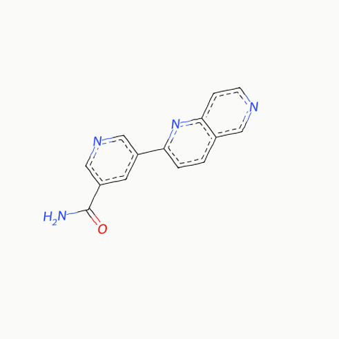 NC(=O)c1cncc(-c2ccc3cnccc3n2)c1